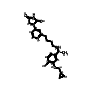 C[C@@H](NCCCCc1cc(N2CC(=O)NC2=O)ccn1)c1ccc(F)c(OCC2CC2)c1